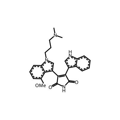 COc1cccc2c1c(C1=C(c3c[nH]c4ccccc34)C(=O)NC1=O)cn2CCCN(C)C